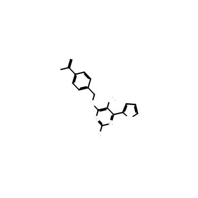 C=C(C)c1ccc(CNc2nc(N)nc(-c3ccco3)c2C#N)cc1